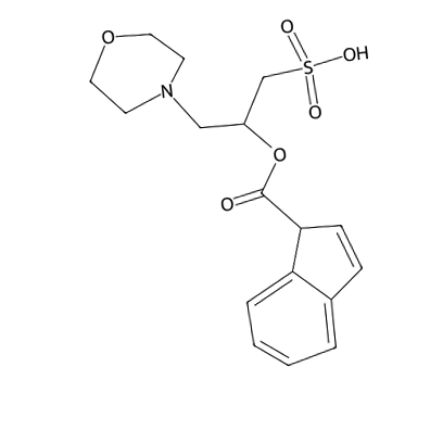 O=C(OC(CN1CCOCC1)CS(=O)(=O)O)C1C=Cc2ccccc21